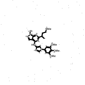 CNCCC(C)c1nc(Nc2cn(-c3cc(OC)c(OC)c(OC)c3)cn2)c2cnn(C(C)C)c2n1